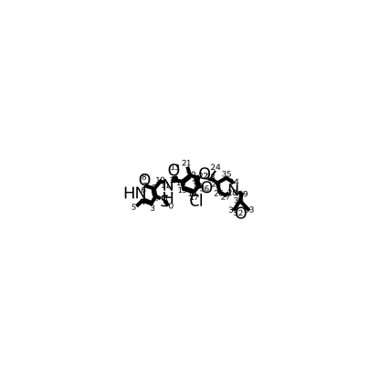 CSc1cc(C)[nH]c(=O)c1CNC(=O)c1cc(Cl)c2c(c1C)O[C@](C)(C1CCN(CC3COC3)CC1)O2